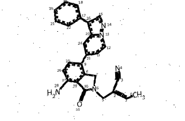 C/C=C(\C#N)CN1Cc2c(-c3ccn4ncc(-c5ccccc5)c4c3)ccc(N)c2C1=O